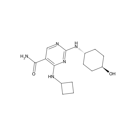 NC(=O)c1cnc(N[C@H]2CC[C@H](O)CC2)nc1NC1CCC1